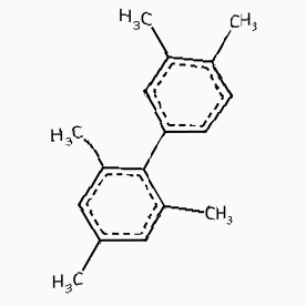 Cc1cc(C)c(-c2ccc(C)c(C)c2)c(C)c1